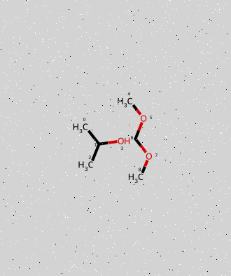 CC(C)O.COCOC